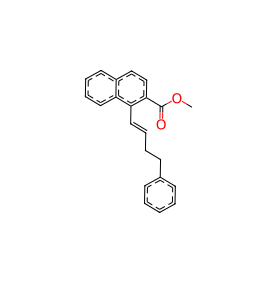 COC(=O)c1ccc2ccccc2c1/C=C/CCc1ccccc1